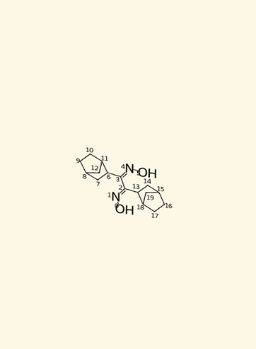 ON=C(C(=NO)C1CC2CCC1C2)C1CC2CCC1C2